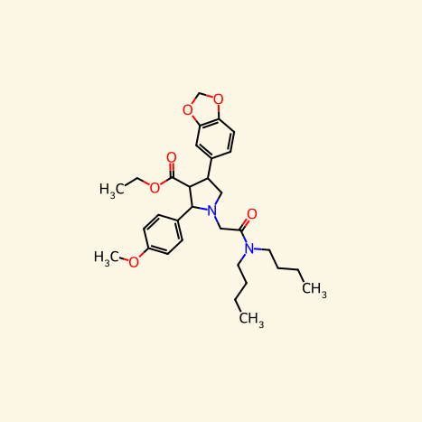 CCCCN(CCCC)C(=O)CN1CC(c2ccc3c(c2)OCO3)C(C(=O)OCC)C1c1ccc(OC)cc1